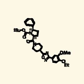 CCOc1ccc(-c2noc(C3CCN(C(=O)[C@@H]4CC[C@H](c5ccccc5)N4C(=O)OC(C)(C)C)CC3)n2)cc1OC